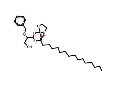 CCCCCCCCCCCCCCCC(=O)OC(OP1(=O)NCCO1)C(CO)OCc1ccccc1